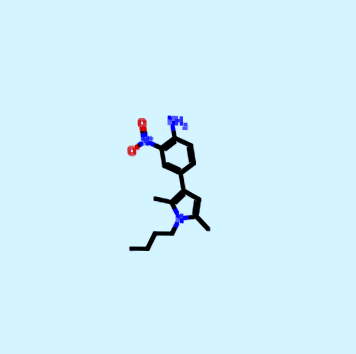 CCCCn1c(C)cc(-c2ccc(N)c([N+](=O)[O-])c2)c1C